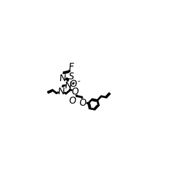 C=CCc1cccc(OCC(=O)OC2CN(CC=C)C[N+]2([O-])c2ncc(F)s2)c1